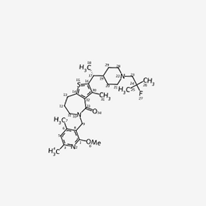 COc1nc(C)cc(C)c1CN1CCCc2sc([C@H](C)C3CCN(CC(C)(C)F)CC3)c(C)c2C1=O